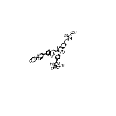 CC(C)(C)OC(=O)NC[C@H]1CC[C@H](C(=O)N(C(=O)[C@@H](N)Cc2ccc(-c3cnc(N4CCOCC4)nc3)cc2)c2ccc(-c3nnn[nH]3)cc2)CC1.O=CO